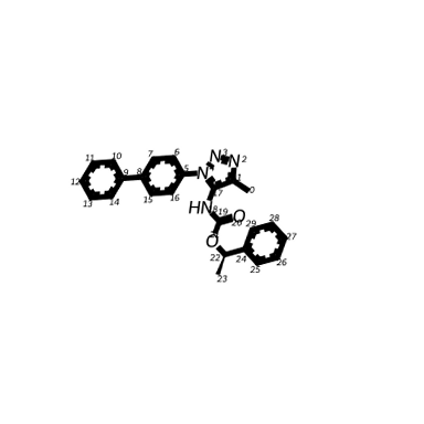 Cc1nnn(-c2ccc(-c3ccccc3)cc2)c1NC(=O)O[C@H](C)c1ccccc1